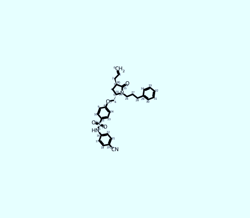 C=CC[C@@H]1C[C@@H](COc2ccc(S(=O)(=O)Nc3ccc(C#N)cc3)cc2)N(CCCc2ccccc2)C1=O